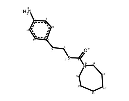 Nc1ccc(CCSC(=O)N2CCCCCC2)cc1